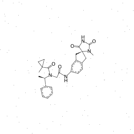 C[C@H](c1ccccc1)N(CC(=O)Nc1ccc2c(c1)C[C@@]1(C2)C(=O)NC(=O)N1C)C(=O)C1(C)CC1